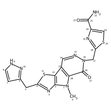 Cn1c2nc(Cc3cc[nH]n3)sc2c2cnn(Cc3nc(C(N)=O)cs3)c(=O)c21